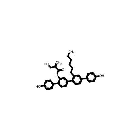 C=C(CO)C(=O)Oc1cc(-c2ccc(-c3ccc(O)cc3)cc2CCCCCC)ccc1-c1ccc(O)cc1